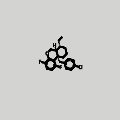 CC[C@@H]1CCC[C@@]2(Cc3ccc(Cl)cc3)c3c(F)ccc(F)c3OC[C@@H]12